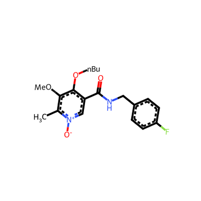 CCCCOc1c(C(=O)NCc2ccc(F)cc2)c[n+]([O-])c(C)c1OC